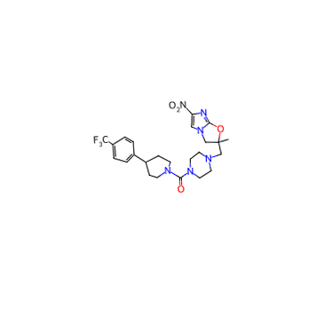 CC1(CN2CCN(C(=O)N3CCC(c4ccc(C(F)(F)F)cc4)CC3)CC2)Cn2cc([N+](=O)[O-])nc2O1